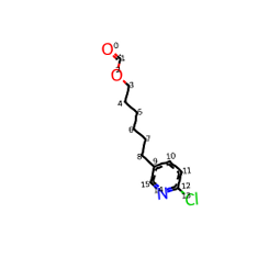 O=[C]OCCCCCCc1ccc(Cl)nc1